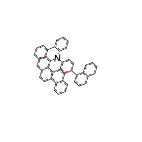 c1ccc(-c2ccccc2N(c2ccc(-c3cccc4ccccc34)cc2)c2cccc3ccc4c5ccccc5ccc4c23)cc1